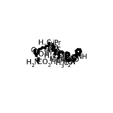 CO[C@H]([C@@H](C)C(=O)N[C@@H](Cc1c[nH]c2ccccc12)C(N)=O)[C@@H]1CCCN1CC[C@H](C)[C@@H]([C@@H](CC=O)OC)N(C)C(=O)[C@@H](NC(=O)[C@H](C(C)C)N(C)CCCCCCN1C(=O)CC(SC[C@H](N)C(=O)O)C1=O)C(C)C